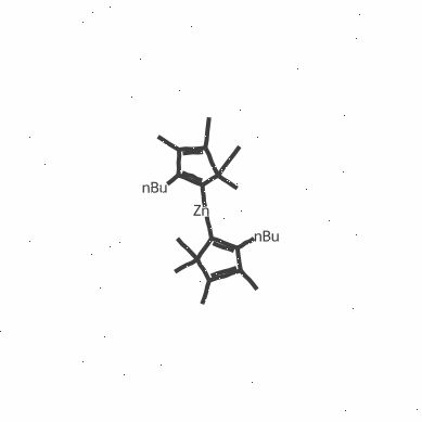 CCCCC1=[C]([Zn][C]2=C(CCCC)C(C)=C(C)C2(C)C)C(C)(C)C(C)=C1C